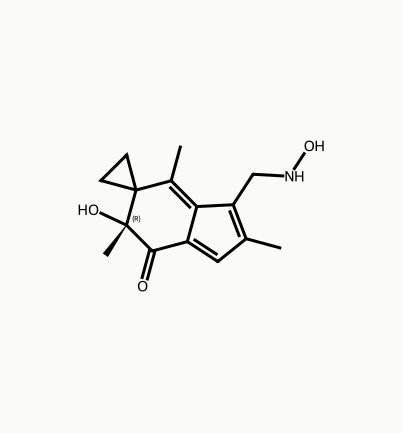 CC1=C(CNO)C2=C(C)C3(CC3)[C@@](C)(O)C(=O)C2=C1